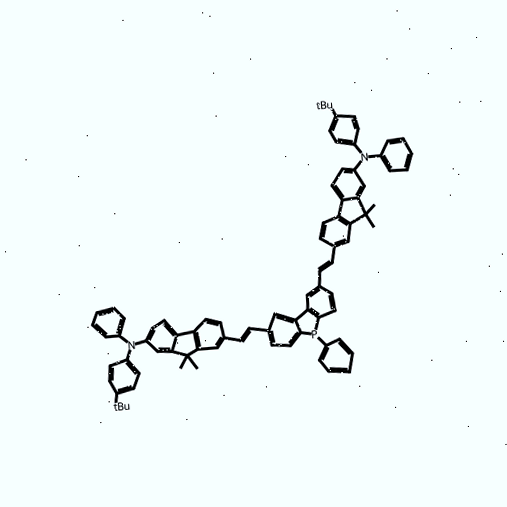 CC(C)(C)c1ccc(N(c2ccccc2)c2ccc3c(c2)C(C)(C)c2cc(/C=C/c4ccc5c(c4)c4cc(/C=C/c6ccc7c(c6)C(C)(C)c6cc(N(c8ccccc8)c8ccc(C(C)(C)C)cc8)ccc6-7)ccc4p5-c4ccccc4)ccc2-3)cc1